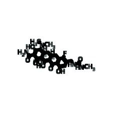 CNC(=O)NCc1cc(O)c2c(c1F)C[C@H]1C[C@H]3[C@H](N(C)C)C(O)=C(C(N)=O)C(=O)[C@@]3(O)C(O)=C1C2=O